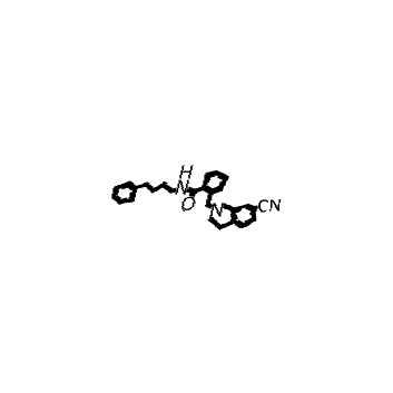 N#Cc1ccc2c(c1)CN(Cc1ccccc1C(=O)NCCCCc1ccccc1)CC2